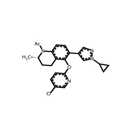 CC(=O)N1c2ccc(-c3cnn(C4CC4)c3)c(Oc3ccc(Cl)cn3)c2CC[C@@H]1C